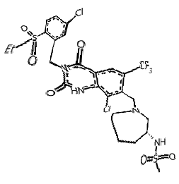 CCS(=O)(=O)c1ccc(Cl)cc1Cn1c(=O)[nH]c2c(Cl)c(CN3CCC[C@@H](NS(C)(=O)=O)C3)c(C(F)(F)F)cc2c1=O